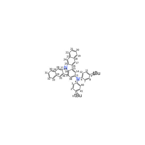 CC(C)(C)c1ccc(N(c2ccc(C(C)(C)C)cc2)c2cc3c4cc5ccccc5cc4n4c5cc6ccccc6cc5c(c2)c34)cc1